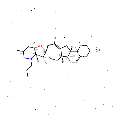 CCCN1C[C@@H](C)C[C@H]2O[C@]3(CC[C@@H]4C(=C(C)C3)C[C@H]3[C@H]4CC=C4C[C@@H](O)CC[C@@]43C)[C@H](C)[C@@H]21